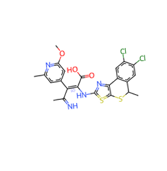 COc1cc(/C(C(C)=N)=C(/Nc2nc3c(s2)SC(C)c2cc(Cl)c(Cl)cc2-3)C(=O)O)cc(C)n1